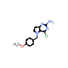 COc1ccc(Cn2ccc3nc(N)nc(Cl)c32)cc1